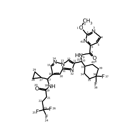 COc1nccc(C(=O)N[C@H](c2cn3ncc(C(NC(=O)CCC(F)(F)F)C4CC4)cc3n2)C2CCC(F)(F)CC2)n1